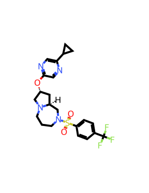 O=S(=O)(c1ccc(C(F)(F)F)cc1)N1CCCN2C[C@H](Oc3cnc(C4CC4)cn3)C[C@H]2C1